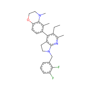 CCc1c(C)nc2c(c1-c1ccc3c(c1C)N(C)CCO3)CCN2Cc1cccc(F)c1F